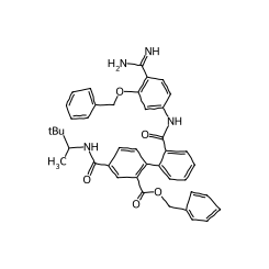 CC(NC(=O)c1ccc(-c2ccccc2C(=O)Nc2ccc(C(=N)N)c(OCc3ccccc3)c2)c(C(=O)OCc2ccccc2)c1)C(C)(C)C